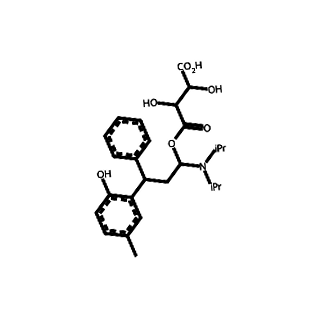 Cc1ccc(O)c(C(CC(OC(=O)C(O)C(O)C(=O)O)N(C(C)C)C(C)C)c2ccccc2)c1